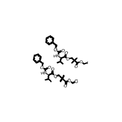 CC(C)[C@@H](NC(=O)OCc1ccccc1)C(=O)OCC(C)(C)C(=O)OCCl.CC(C)[C@@H](NC(=O)OCc1ccccc1)C(=O)OCC(C)(C)C(=O)OCI